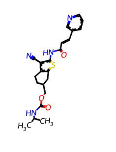 CC(C)NC(=O)OCC1CCc2c(sc(NC(=O)/C=C/c3cccnc3)c2C#N)C1